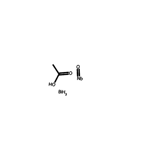 CC(=O)O.[BiH3].[O]=[Nb]